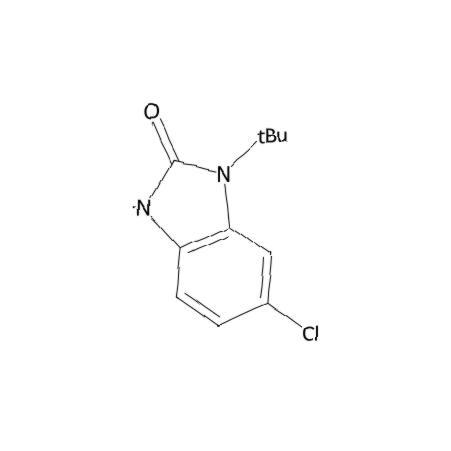 CC(C)(C)N1C(=O)[N]c2ccc(Cl)cc21